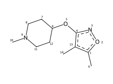 Cc1onc(OC2CCN(C)CC2)c1C